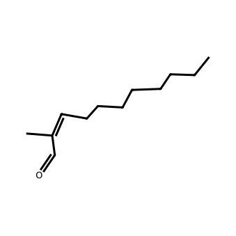 CCCCCCCCC=C(C)C=O